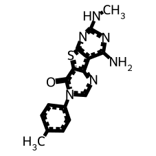 CNc1nc(N)c2c(n1)sc1c(=O)n(-c3ccc(C)cc3)cnc12